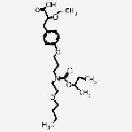 CCCCOCCN(CCCOc1ccc(CC(OCC)C(=O)O)cc1)C(=O)OC(C)CC